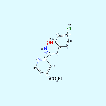 CCOC(=O)c1ccnc(/C(Cc2ccc(Cl)cc2)=N/O)c1